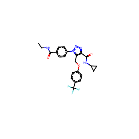 CCNC(=O)c1ccc(-n2nnc(C(=O)NC3CC3)c2COc2ccc(C(F)(F)F)cc2)cc1